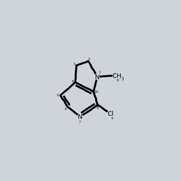 CN1CCc2ccnc(Cl)c21